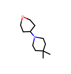 CC1(C)CCN(C2CCOCC2)CC1